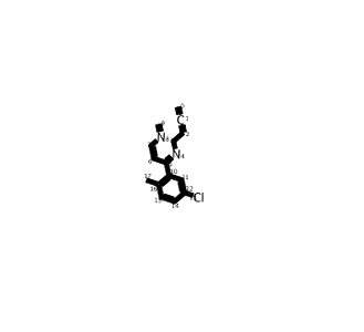 C=C=CC/N=C(\C=C/N=C)c1cc(Cl)ccc1C